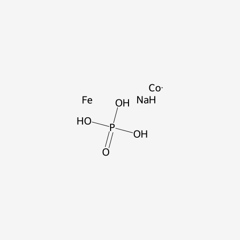 O=P(O)(O)O.[Co].[Fe].[NaH]